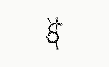 C[C@H](Cc1ccc(Br)cn1)S(=O)(=O)Cl